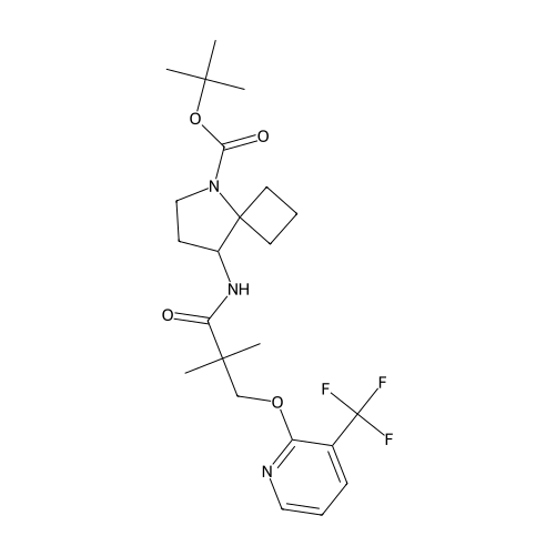 CC(C)(C)OC(=O)N1CCC(NC(=O)C(C)(C)COc2ncccc2C(F)(F)F)C12CCC2